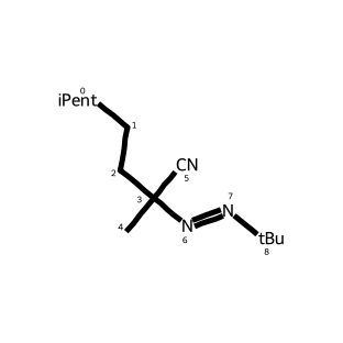 CCCC(C)CCC(C)(C#N)N=NC(C)(C)C